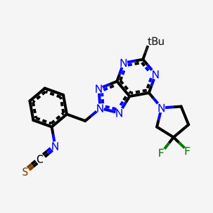 CC(C)(C)c1nc(N2CCC(F)(F)C2)c2nn(Cc3ccccc3N=C=S)nc2n1